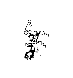 CC(=O)O[C@@H]1[C@@H](OC(C)=O)[C@@H](Oc2cncc(-c3ccncc3C)c2)SC[C@H]1OC(C)=O